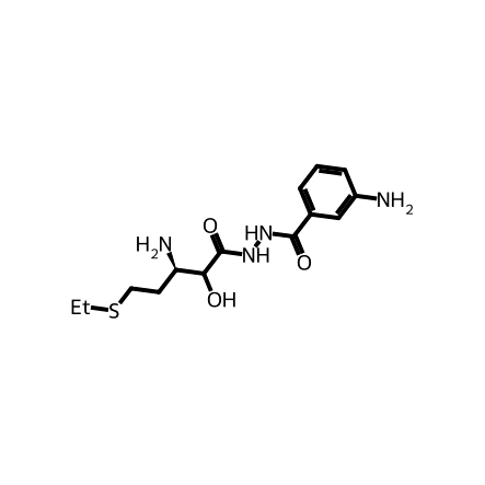 CCSCC[C@@H](N)C(O)C(=O)NNC(=O)c1cccc(N)c1